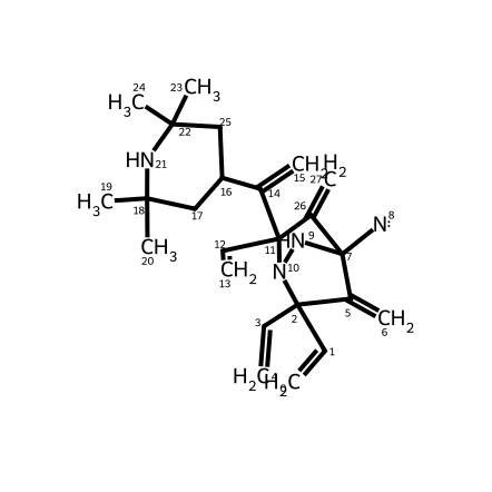 C=CC1(C=C)C(=C)C2([N])NN1C(C=C)(C(=C)C1CC(C)(C)NC(C)(C)C1)C2=C